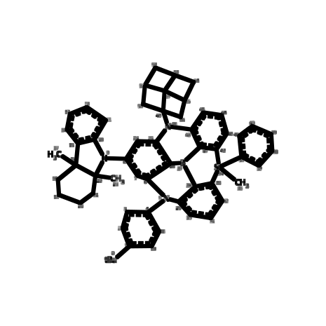 CC(C)(C)c1ccc(N2c3cc(N4c5ccccc5C5(C)CCCCC45C)cc4c3B3c5c2cccc5[Si](C)(c2ccccc2)c2cccc(c23)N4C23CC4CC5CC(C2)C543)cc1